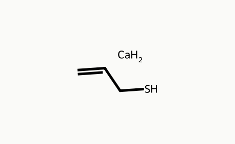 C=CCS.[CaH2]